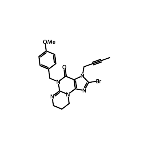 CC#CCn1c(Br)nc2c1C(=O)N(Cc1ccc(OC)cc1)C1=NCCCN12